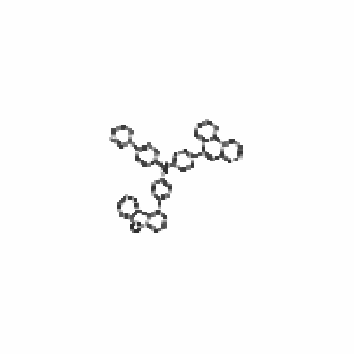 c1ccc(-c2ccc(N(c3ccc(-c4cc5ccccc5c5ccccc45)cc3)c3ccc(-c4cccc5oc6ccccc6c45)cc3)cc2)cc1